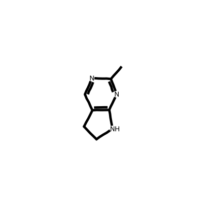 Cc1ncc2c(n1)NCC2